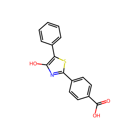 O=C(O)c1ccc(-c2nc(O)c(-c3ccccc3)s2)cc1